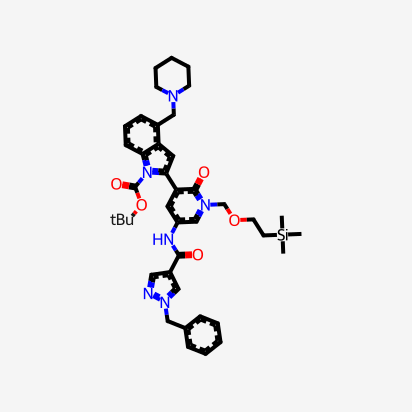 CC(C)(C)OC(=O)n1c(-c2cc(NC(=O)c3cnn(Cc4ccccc4)c3)cn(COCC[Si](C)(C)C)c2=O)cc2c(CN3CCCCC3)cccc21